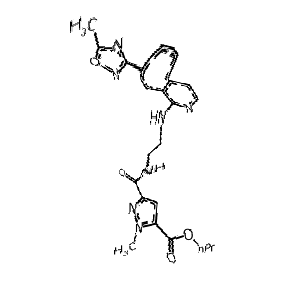 CCCOC(=O)c1cc(C(=O)NCCNc2nccc3ccc(-c4noc(C)n4)cc23)nn1C